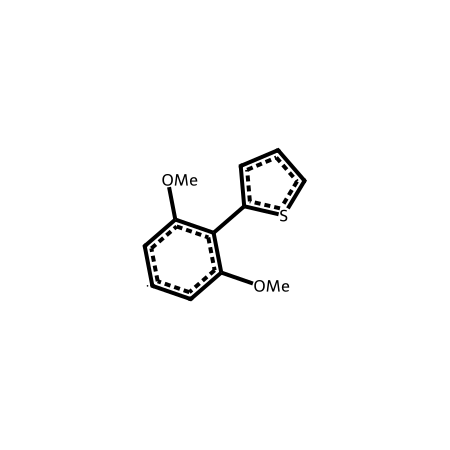 COc1c[c]cc(OC)c1-c1cccs1